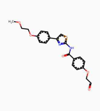 COCCOc1ccc(-c2csc(NC(=O)c3ccc(OCC=O)cc3)n2)cc1